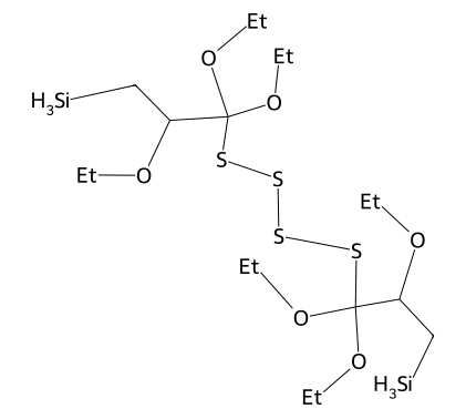 CCOC(C[SiH3])C(OCC)(OCC)SSSSC(OCC)(OCC)C(C[SiH3])OCC